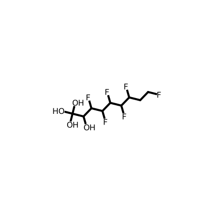 OC(C(F)C(F)C(F)C(F)C(F)CCF)C(O)(O)O